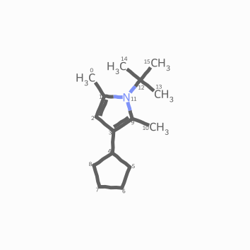 Cc1cc(C2CCCC2)c(C)n1C(C)(C)C